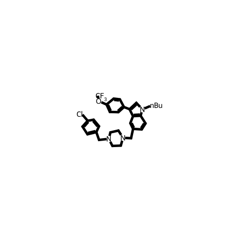 CCCCn1cc(-c2ccc(OC(F)(F)F)cc2)c2cc(CN3CCN(Cc4ccc(Cl)cc4)CC3)ccc21